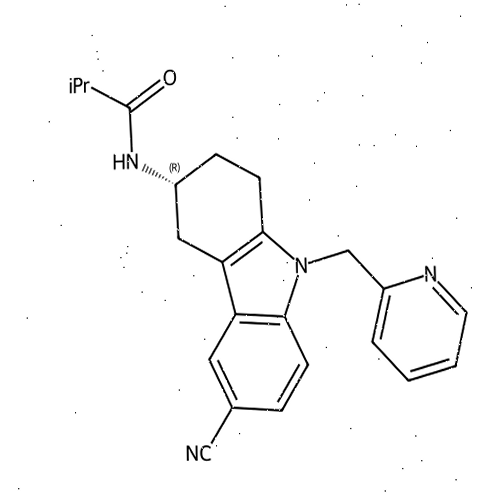 CC(C)C(=O)N[C@@H]1CCc2c(c3cc(C#N)ccc3n2Cc2ccccn2)C1